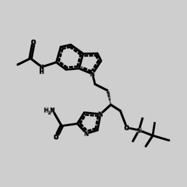 CC(=O)Nc1ccc2ccn(CC[C@H](CO[Si](C)(C)C(C)(C)C)n3cnc(C(N)=O)c3)c2c1